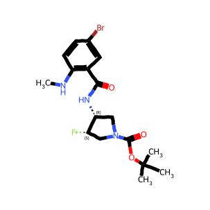 CNc1ccc(Br)cc1C(=O)N[C@@H]1CN(C(=O)OC(C)(C)C)C[C@@H]1F